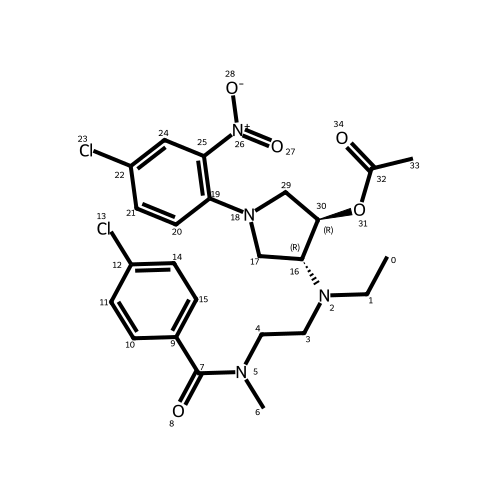 CCN(CCN(C)C(=O)c1ccc(Cl)cc1)[C@@H]1CN(c2ccc(Cl)cc2[N+](=O)[O-])C[C@H]1OC(C)=O